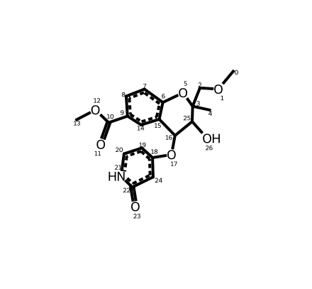 COCC1(C)Oc2ccc(C(=O)OC)cc2C(Oc2cc[nH]c(=O)c2)C1O